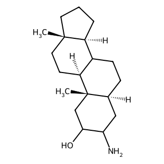 C[C@@]12CCC[C@H]1C1CC[C@H]3CC(N)C(O)C[C@]3(C)[C@H]1CC2